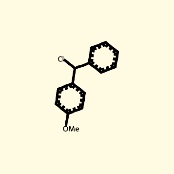 COc1ccc(C(Cl)c2ccccc2)cc1